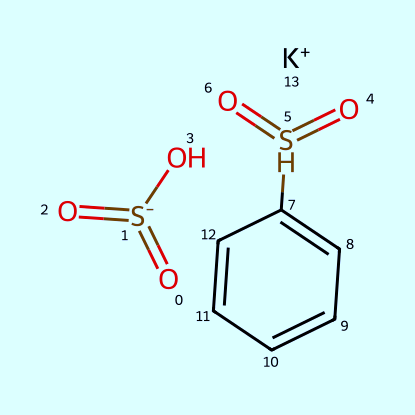 O=[S-](=O)O.O=[SH](=O)c1ccccc1.[K+]